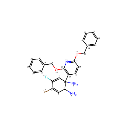 NC1C=C(Br)C(F)=CC1(N)c1ccc(OCc2ccccc2)nc1OCc1ccccc1